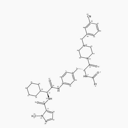 CCC(=O)N[C@H](Cc1ccc(NC(=O)[C@@H](NC(=O)c2ccnn2C)C2CCCCC2)cc1)C(=O)N1CCN(Cc2cccc(C#N)c2)CC1